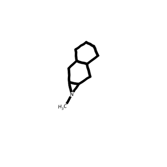 CN1C2CC3CCCCC3CC21